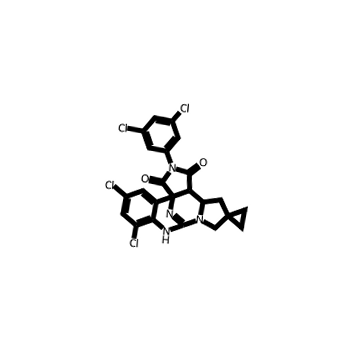 O=C1C2C3CC4(CC4)CN3C3=NC2(C(=O)N1c1cc(Cl)cc(Cl)c1)c1cc(Cl)cc(Cl)c1N3